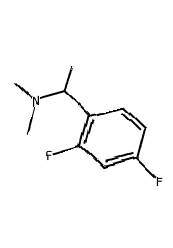 CC(c1ccc(F)cc1F)N(C)C